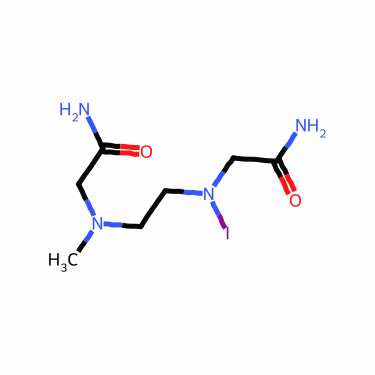 CN(CCN(I)CC(N)=O)CC(N)=O